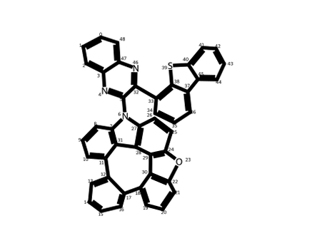 c1ccc2nc(-n3c4cccc5c6ccccc6c6cccc7oc8ccc3c(c8c76)c54)c(-c3cccc4c3sc3ccccc34)nc2c1